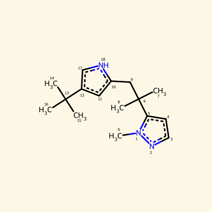 Cn1nccc1C(C)(C)Cc1cc(C(C)(C)C)c[nH]1